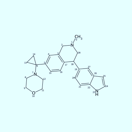 CN1Cc2cc(C3(N4CCOCC4)CC3)ccc2C(c2ccc3[nH]ccc3c2)C1